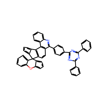 c1ccc(-c2nc(-c3ccccc3)nc(-c3ccc(-c4nc5ccccc5c5c6c(ccc45)C4(c5ccccc5Oc5ccccc54)c4ccccc4-6)cc3)n2)cc1